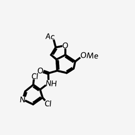 COc1ccc(C(=O)Nc2c(Cl)cncc2Cl)c2cc(C(C)=O)oc12